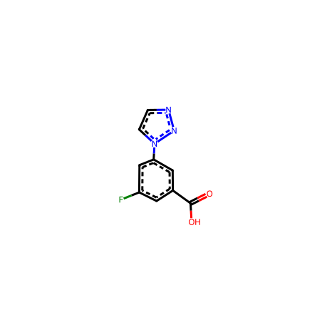 O=C(O)c1cc(F)cc(-n2ccnn2)c1